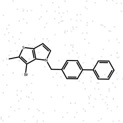 Cc1sc2ccn(Cc3ccc(-c4ccccc4)cc3)c2c1Br